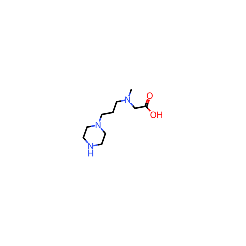 CN(CCCN1CCNCC1)CC(=O)O